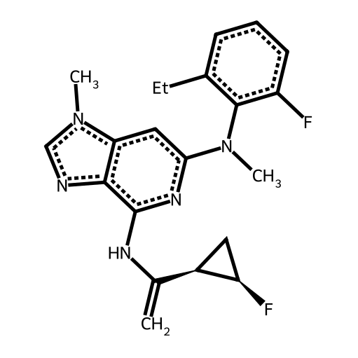 C=C(Nc1nc(N(C)c2c(F)cccc2CC)cc2c1ncn2C)[C@H]1C[C@H]1F